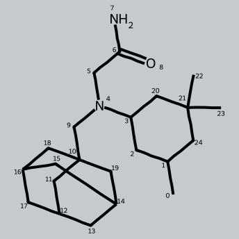 CC1CC(N(CC(N)=O)CC23CC4CC(CC(C4)C2)C3)CC(C)(C)C1